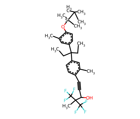 CCC(CC)(c1ccc(C#CC(O)C(C)(C(F)(F)F)C(F)(F)F)c(C)c1)c1ccc(O[Si](C)(C)C(C)(C)C)c(C)c1